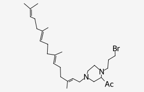 CC(=O)C1CN(C/C=C(\C)CC/C=C(\C)CC/C=C(\C)CCC=C(C)C)CCN1CCCBr